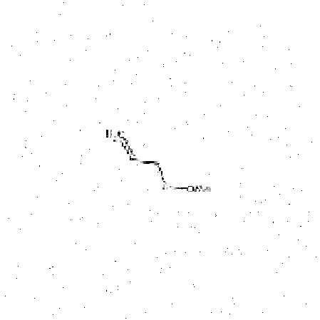 C=CCOOC